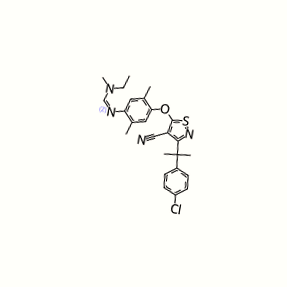 CCN(C)/C=N\c1cc(C)c(Oc2snc(C(C)(C)c3ccc(Cl)cc3)c2C#N)cc1C